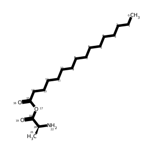 CCCCCCCCCCCCCCCC(=O)OC(=O)[C@H](C)N